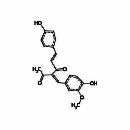 COc1cc(C=C(C(C)=O)C(=O)C=Cc2ccc(O)cc2)ccc1O